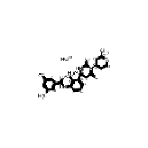 Cc1cc(Cl)cc(C(=O)Nc2cccc([C@]3(C)CC(=O)N([C@@H]4CCO[C@H](C)C4)C(=N)N3)c2Cl)c1.Cl